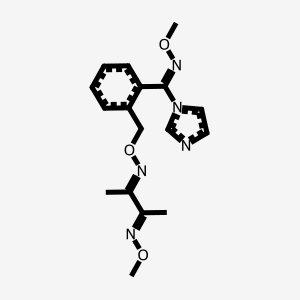 CO/N=C(C)/C(C)=N/OCc1ccccc1/C(=N\OC)n1ccnc1